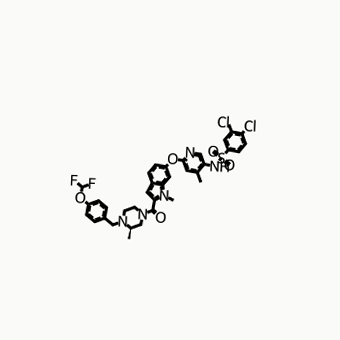 Cc1cc(Oc2ccc3cc(C(=O)N4CCN(Cc5ccc(OC(F)F)cc5)[C@H](C)C4)n(C)c3c2)ncc1NS(=O)(=O)c1ccc(Cl)c(Cl)c1